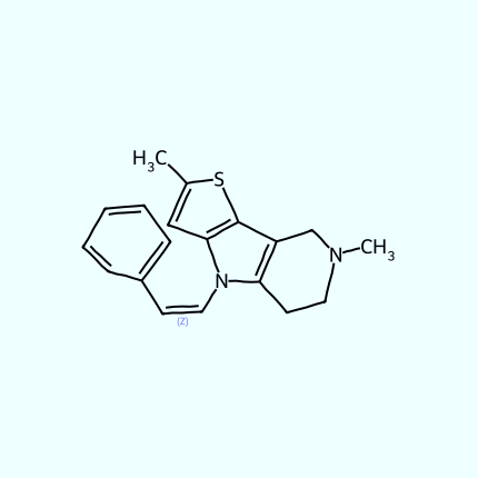 Cc1cc2c(s1)c1c(n2/C=C\c2ccccc2)CCN(C)C1